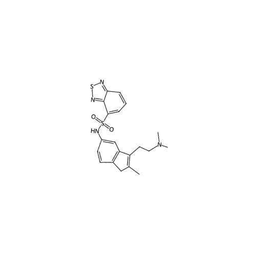 CC1=C(CCN(C)C)c2cc(NS(=O)(=O)c3cccc4nsnc34)ccc2C1